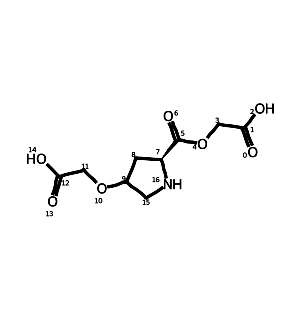 O=C(O)COC(=O)[C@@H]1CC(OCC(=O)O)CN1